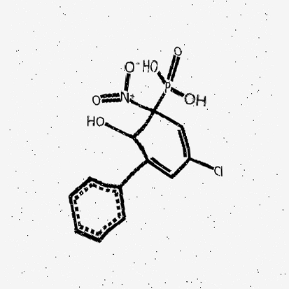 O=[N+]([O-])C1(P(=O)(O)O)C=C(Cl)C=C(c2ccccc2)C1O